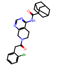 O=C(Cc1ccccc1Br)N1CCc2c(ncnc2NC(=O)C23CC4CC(CC(C4)C2)C3)C1